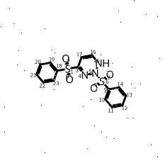 O=S(=O)(C1=NN(S(=O)(=O)c2ccccc2)N[C]=C1)c1ccccc1